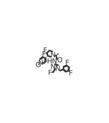 C[C@@H](C(=O)Nc1cn(Cc2cc(F)cc(F)c2)c(CF)n1)N1CCC(F)(F)[C@@H](c2cc[n+]([O-])cc2)C1